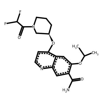 CC(C)Oc1cc2c(O[C@@H]3CCCN(C(=O)C(F)F)C3)ccnc2cc1C(N)=O